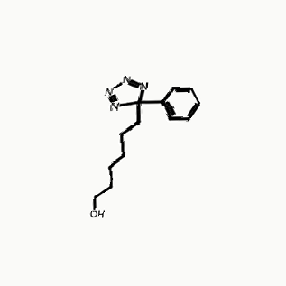 OCCCCCCC1(c2ccccc2)N=NN=N1